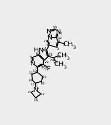 Cc1cc(-c2[nH]c3cnc(C4CCC(N5CCC5)CC4)c(F)c3c2C(C)C)cn2ncnc12